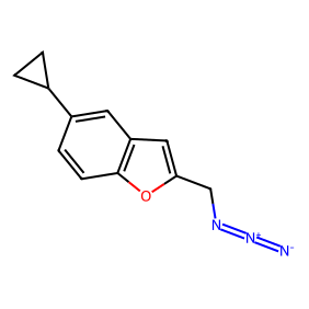 [N-]=[N+]=NCc1cc2cc(C3CC3)ccc2o1